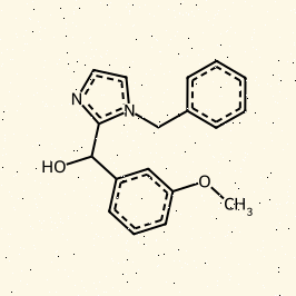 COc1cccc(C(O)c2nccn2Cc2ccccc2)c1